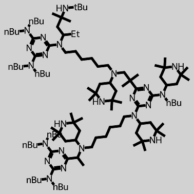 CCCCN(CCCC)c1nc(C(C)N(CCCCCCN(c2nc(N(CCCC)C3CC(C)(C)NC(C)(C)C3)nc(C(C)(C)CN(CCCCCCN(c3nc(N(CCCC)CCCC)nc(N(CCCC)CCCC)n3)C(CC)CC(C)(C)NC(C)(C)C)C3CC(C)(C)NC(C)(C)C3)n2)C2CC(C)(C)NC(C)(C)C2)C2CC(C)(C)NC(C)(C)C2)nc(N(CCCC)CCCC)n1